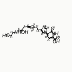 C[Si](C)(C#CC[C@H](O)CNCCO)CCc1cn(-c2ccc(C(=O)O)[nH]c2=O)cn1